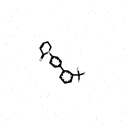 O=C1C=CCCN1c1ccc(-c2cccc(C(F)(F)F)c2)cc1